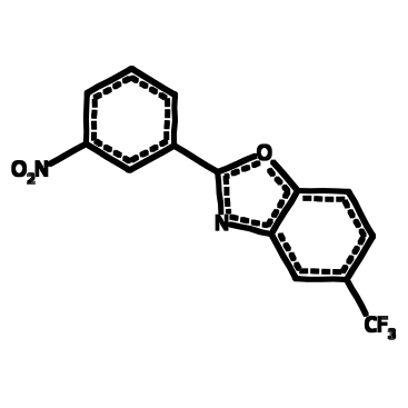 O=[N+]([O-])c1cccc(-c2nc3cc(C(F)(F)F)ccc3o2)c1